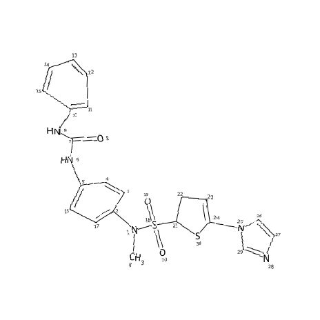 CN(c1ccc(NC(=O)Nc2ccccc2)cc1)S(=O)(=O)C1CC=C(n2ccnc2)S1